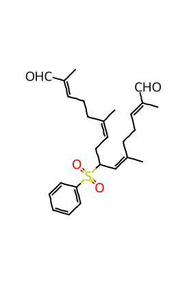 CC(C=O)=CCCC(C)=CCC(C=C(C)CCC=C(C)C=O)S(=O)(=O)c1ccccc1